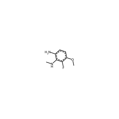 CNc1c(N)ccc(OC)c1F